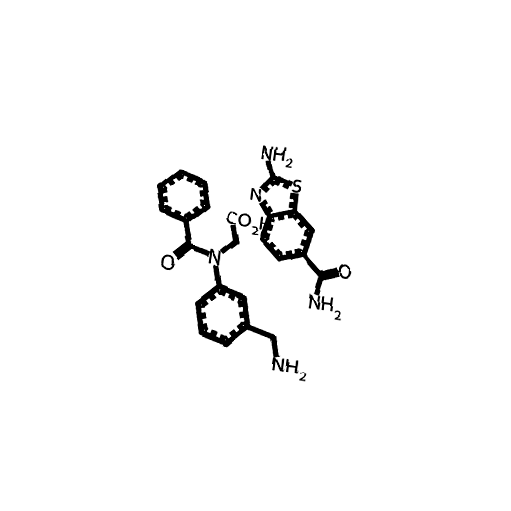 NC(=O)c1ccc2nc(N)sc2c1.NCc1cccc(N(CC(=O)O)C(=O)c2ccccc2)c1